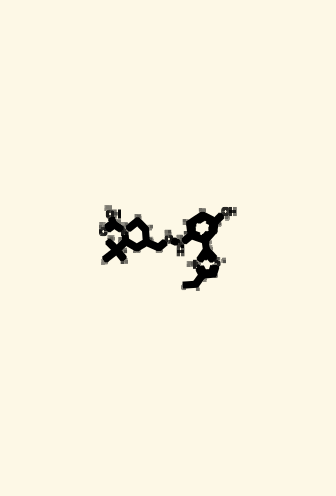 CCc1csc(-c2cc(O)ccc2NOCC2CCN(C(=O)O)C(C(C)(C)C)C2)n1